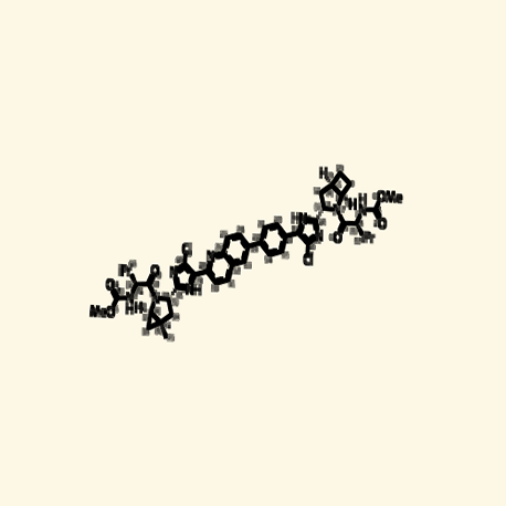 COC(=O)N[C@H](C(=O)N1[C@@H]2CC[C@@H]2C[C@H]1c1nc(Cl)c(-c2ccc(-c3ccc4nc(-c5[nH]c([C@@H]6C[C@]7(C)C[C@H]7N6C(=O)[C@@H](NC(=O)OC)C(C)C)nc5Cl)ccc4c3)cc2)[nH]1)C(C)C